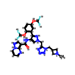 CN1CC(Cn2nnnc2Cn2cc(NC(=O)c3cnn4cccnc34)c(-c3cc(OC(F)F)ccc3OC(F)F)n2)C1